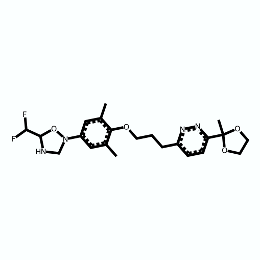 Cc1cc(N2CNC(C(F)F)O2)cc(C)c1OCCCc1ccc(C2(C)OCCO2)nn1